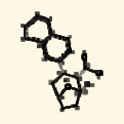 CCC(=O)[C@H]1[C@@H](c2ccc3ccccc3c2)CC2CC[C@H]1O2